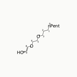 CCCCCCCCOCCOC=CO